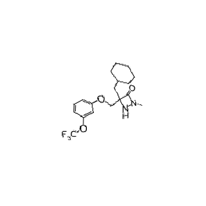 CN1NC(COc2cccc(OC(F)(F)F)c2)(CC2CCCCC2)C1=O